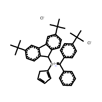 CC(C)(C)c1ccc(/[C](c2ccccc2)=[Zr+2](/[C]2=CC=CC2)[CH]2c3ccc(C(C)(C)C)cc3-c3cc(C(C)(C)C)ccc32)cc1.[Cl-].[Cl-]